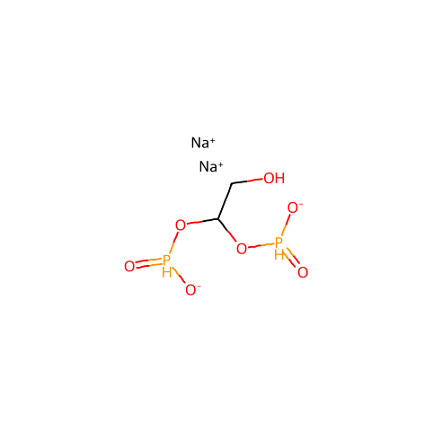 O=[PH]([O-])OC(CO)O[PH](=O)[O-].[Na+].[Na+]